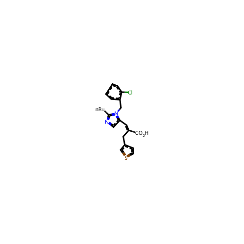 CCCCc1ncc(C=C(Cc2ccsc2)C(=O)O)n1Cc1ccccc1Cl